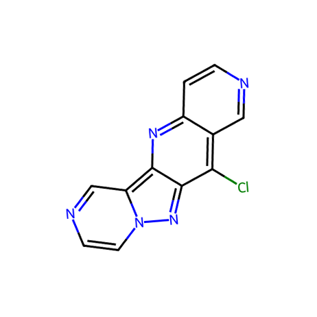 Clc1c2cnccc2nc2c1nn1ccncc21